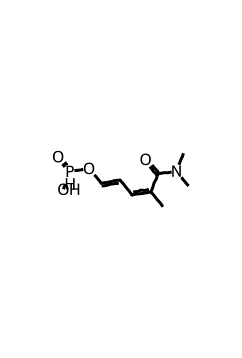 C/C(=C/C=C/O[PH](=O)O)C(=O)N(C)C